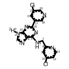 [2H]n1cnc2c(NCc3cc(Cl)ccn3)nc(-c3cncc(Cl)c3)nc21